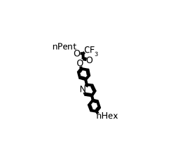 CCCCCCc1ccc(-c2ccc(-c3ccc(OC(=O)C(OCCCCC)C(F)(F)F)cc3)nc2)cc1